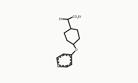 CCOC(=O)C(CC)C1CCC(Oc2ccncc2)CC1